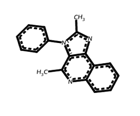 Cc1nc2ccccc2c2nc(C)n(-c3ccccc3)c12